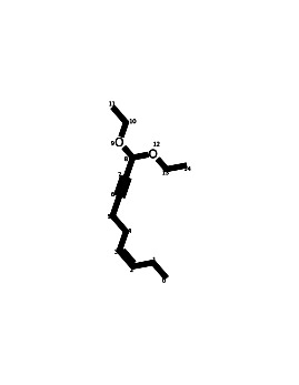 CC/C=C\CCC#CC(OCC)OCC